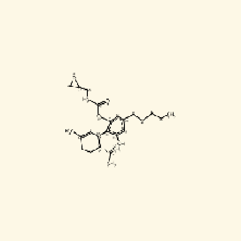 C=C(C)[C@@H]1CCC(C)=C[C@H]1c1c(O)cc(CCCCC)cc1OC(=O)NCC1CO1